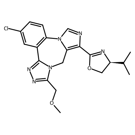 COCc1nnc2n1Cc1c(C3=N[C@@H](C(C)C)CO3)ncn1-c1ccc(Cl)cc1-2